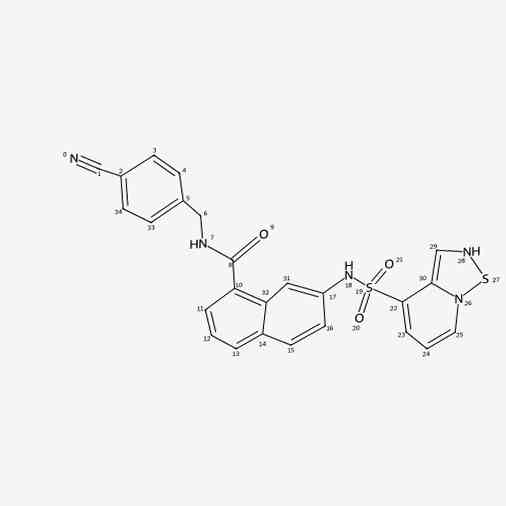 N#Cc1ccc(CNC(=O)c2cccc3ccc(NS(=O)(=O)C4=CC=CN5SNC=C45)cc23)cc1